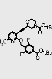 Cc1ccc(C#CC2CN(C(=O)OC(C)(C)C)CCO2)c(OCc2c(F)cc(C(=O)OC(C)(C)C)cc2F)n1